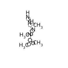 [2H]C1(CC)CC(c2cc3c(cn2)cc(-c2ccc(OC)c(OC)c2)n3C)CCN1C1CCNCC1